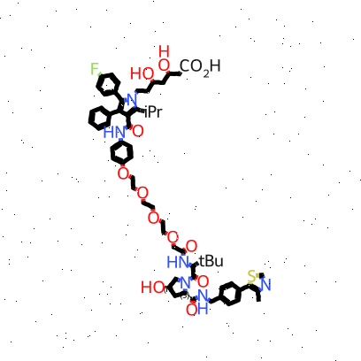 Cc1ncsc1-c1ccc(CNC(=O)[C@@H]2C[C@@H](O)CN2C(=O)C(NC(=O)COCCOCCOCCOc2ccc(NC(=O)c3c(-c4ccccc4)c(-c4ccc(F)cc4)n(CCC(O)CC(O)CC(=O)O)c3C(C)C)cc2)C(C)(C)C)cc1